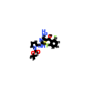 CC(C)(C)OC(=O)N1CCCC1Nc1nc(N)c(C(=O)c2c(F)cccc2F)s1